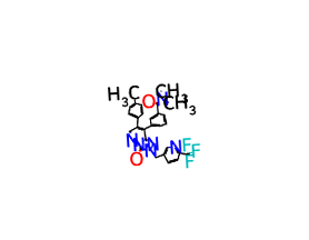 Cc1ccc(-c2cnn3c(=O)n(Cc4ccc(C(F)(F)F)nc4)nc3c2-c2cccc(C(=O)N(C)C)c2)cc1